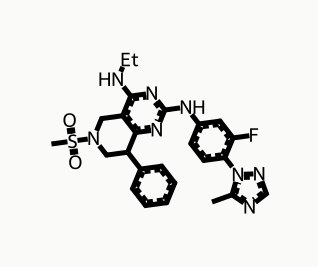 CCNc1nc(Nc2ccc(-n3ncnc3C)c(F)c2)nc2c1CN(S(C)(=O)=O)CC2c1ccccc1